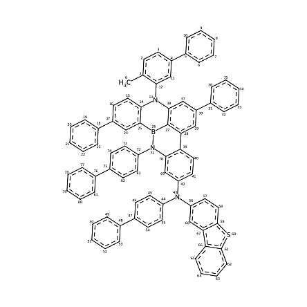 Cc1ccc(-c2ccccc2)cc1N1c2ccc(-c3ccccc3)cc2B2c3c(cc(-c4ccccc4)cc31)-c1ccc(N(c3ccc(-c4ccccc4)cc3)c3ccc4sc5ccccc5c4c3)cc1N2c1ccc(-c2ccccc2)cc1